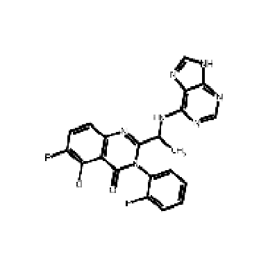 CC(Nc1ncnc2[nH]cnc12)c1nc2ccc(F)c(Cl)c2c(=O)n1-c1ccccc1F